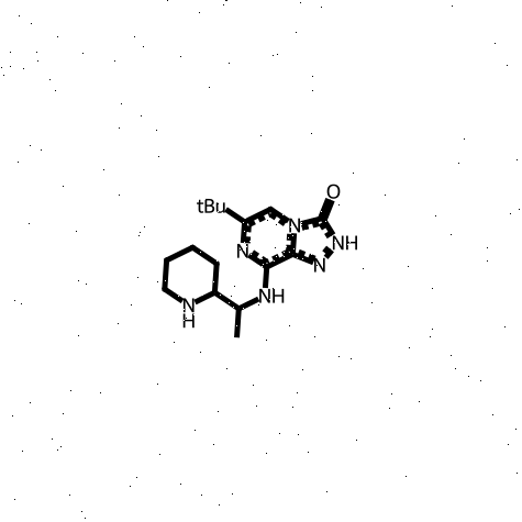 CC(Nc1nc(C(C)(C)C)cn2c(=O)[nH]nc12)C1CCCCN1